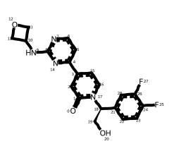 O=c1cc(-c2ccnc(NC3COC3)n2)ccn1[C@H](CO)c1ccc(F)c(F)c1